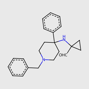 O=CC1(NC2(c3ccccc3)CCN(Cc3ccccc3)CC2)CC1